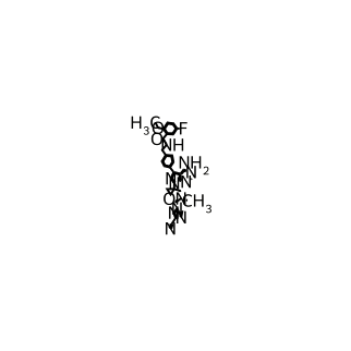 COc1ccc(F)cc1C(=O)NCc1ccc(-c2nn(C3(CN(C)C(=O)n4cnc(C#N)n4)CC3)c3ncnc(N)c23)cc1